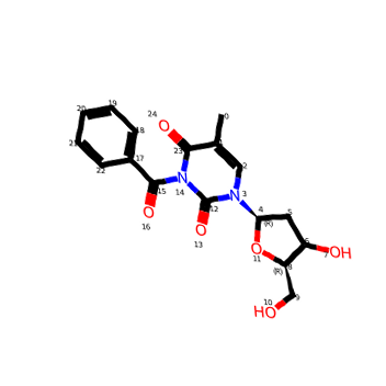 Cc1cn([C@H]2CC(O)[C@@H](CO)O2)c(=O)n(C(=O)c2ccccc2)c1=O